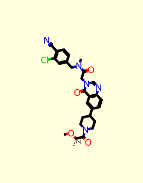 CO[C@@H](C)C(=O)N1CCC(c2ccc3ncn(CC(=O)N(C)Cc4ccc(C#N)c(Cl)c4)c(=O)c3c2)CC1